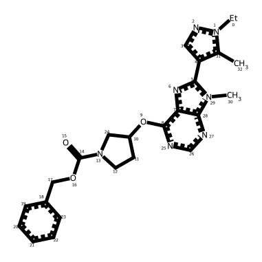 CCn1ncc(-c2nc3c(OC4CCN(C(=O)OCc5ccccc5)C4)ncnc3n2C)c1C